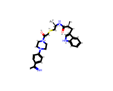 CC(=N)c1ccc(N2CCN(C(=O)CSC[C@H](NC(=O)[C@@H](C)Cc3c[nH]c4ccccc34)C(C)=O)CC2)cc1